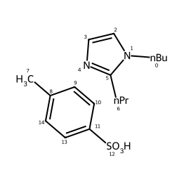 CCCCn1ccnc1CCC.Cc1ccc(S(=O)(=O)O)cc1